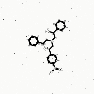 O=[N+]([O-])c1ccc(CCN(CC(O)c2ccccc2)C[C@H](O)c2ccccc2)cc1